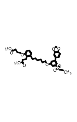 CCCS(=O)(=O)c1cc(OCCCCCCc2cccc(OCCCC(=O)O)c2CCC(=O)O)cc(-c2ccc3c(c2)OCO3)c1